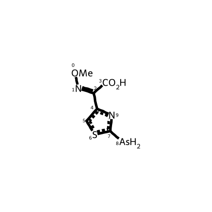 CON=C(C(=O)O)c1csc([AsH2])n1